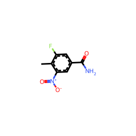 Cc1c(F)cc(C(N)=O)cc1[N+](=O)[O-]